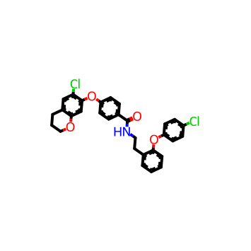 O=C(NCCc1ccccc1Oc1ccc(Cl)cc1)c1ccc(Oc2cc3c(cc2Cl)CCCO3)cc1